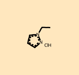 CCn1cccn1.Cl